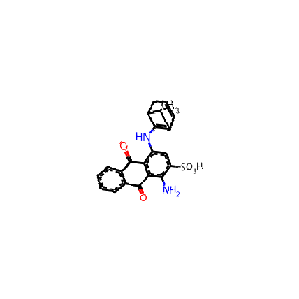 CC1C2=C(Nc3cc(S(=O)(=O)O)c(N)c4c3C(=O)c3ccccc3C4=O)C1CC=C2